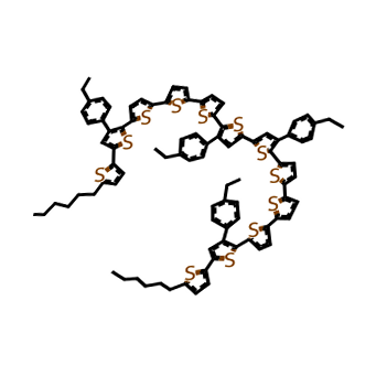 CCCCCCc1ccc(-c2cc(-c3ccc(CC)cc3)c(-c3ccc(-c4ccc(-c5ccc(-c6sc(-c7cc(-c8ccc(CC)cc8)c(-c8ccc(-c9ccc(-c%10ccc(-c%11sc(-c%12ccc(CCCCCC)s%12)cc%11-c%11ccc(CC)cc%11)s%10)s9)s8)s7)cc6-c6ccc(CC)cc6)s5)s4)s3)s2)s1